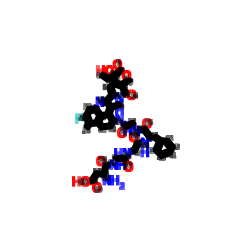 CC[C@@]1(O)C(=O)OCc2c1cc1n(c2=O)Cc2c-1nc1cc(F)c(C)c3c1c2[C@@H](NC(=O)CNC(=O)[C@H](Cc1ccccc1)NC(=O)CNC(=O)CNC(=O)[C@H](N)CC(=O)O)CC3